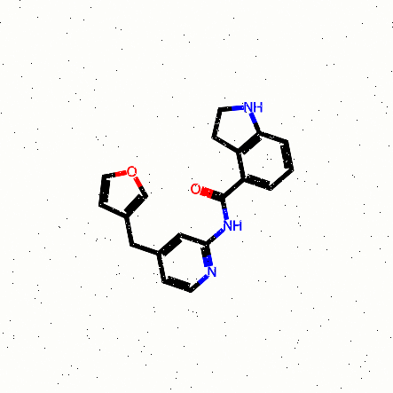 O=C(Nc1cc(Cc2ccoc2)ccn1)c1cccc2c1CCN2